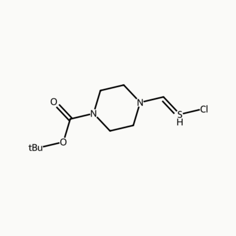 CC(C)(C)OC(=O)N1CCN(C=[SH]Cl)CC1